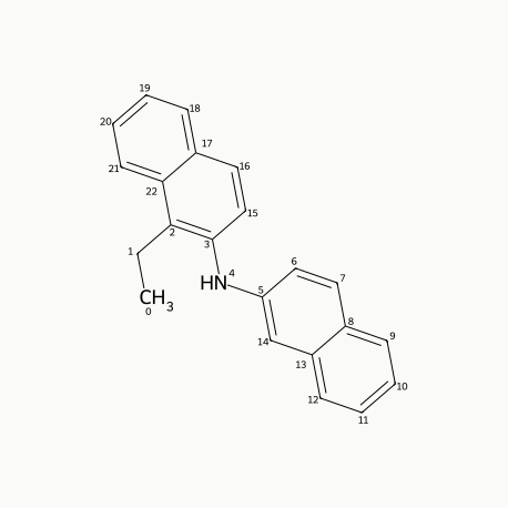 CCc1c(Nc2ccc3ccccc3c2)ccc2ccccc12